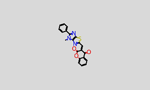 Cn1c(-c2ccccc2)nc2sc(/C=C3\C(=O)Oc4ccccc4C3=O)nc21